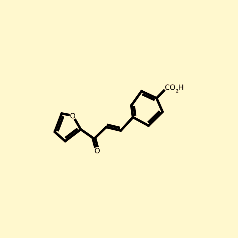 O=C(O)c1ccc(/C=C/C(=O)c2ccco2)cc1